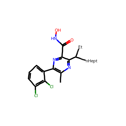 CCCCCCCC(CC)c1nc(C)c(-c2cccc(Cl)c2Cl)nc1C(=O)NO